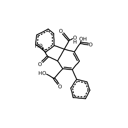 O=C(O)C1=CC(c2ccccc2)=C(C(=O)O)C(C(=O)O)C1(C(=O)O)c1ccccc1